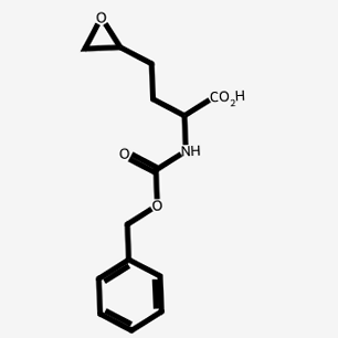 O=C(NC(CCC1CO1)C(=O)O)OCc1ccccc1